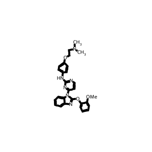 COc1ccccc1Oc1nc2ccccc2n1-c1ccnc(Nc2ccc(OCCN(C)C)cc2)n1